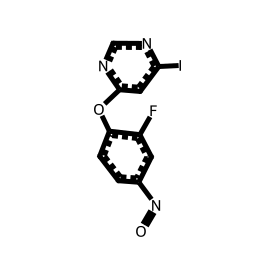 O=Nc1ccc(Oc2cc(I)ncn2)c(F)c1